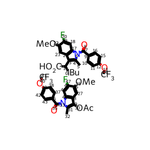 CCC(C)C(C(=O)O)c1c(C)n(C(=O)c2ccc(OC(F)(F)F)cc2)c2cc(F)c(OC)cc12.COc1cc2c(OC(C)=O)c(C)n(C(=O)c3ccc(OC(F)(F)F)cc3)c2cc1F